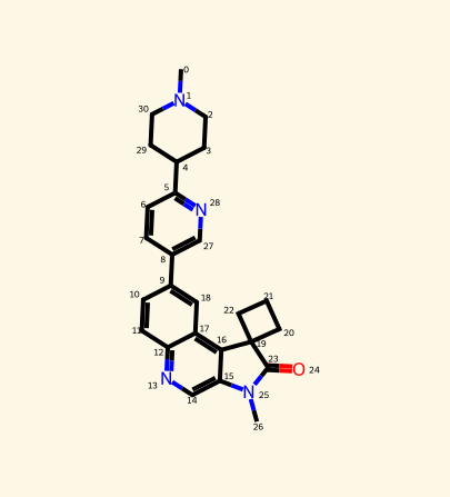 CN1CCC(c2ccc(-c3ccc4ncc5c(c4c3)C3(CCC3)C(=O)N5C)cn2)CC1